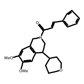 COc1cc2c(cc1OC)C(C1CCOCC1)CN(C(=O)C=Cc1ccccc1)C2